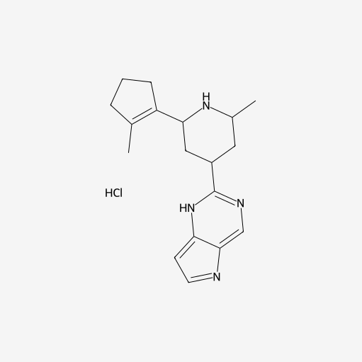 CC1=C(C2CC(c3ncc4nccc-4[nH]3)CC(C)N2)CCC1.Cl